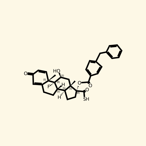 C[C@]12C=CC(=O)C=C1CC[C@H]1[C@@H]3CC[C@](OC(=O)c4ccc(Cc5ccccc5)cc4)(C(=O)S)[C@@]3(C)C[C@H](O)[C@@]12F